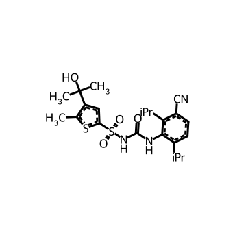 Cc1sc(S(=O)(=O)NC(=O)Nc2c(C(C)C)ccc(C#N)c2C(C)C)cc1C(C)(C)O